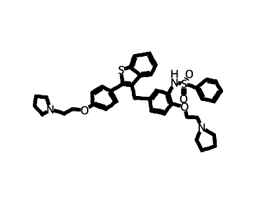 O=S(=O)(Nc1cc(Cc2c(-c3ccc(OCCN4CCCC4)cc3)sc3ccccc23)ccc1OCCN1CCCC1)c1ccccc1